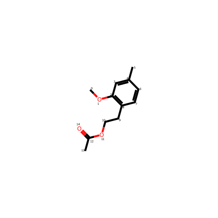 COc1cc(C)ccc1CCOC(C)=O